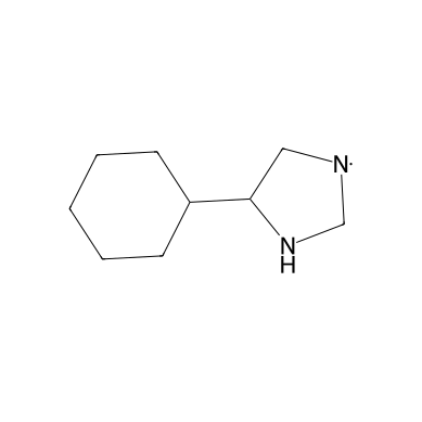 C1CCC(C2C[N]CN2)CC1